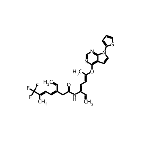 C=C/C(=C\C=C(/C)C(F)(F)F)CC(=O)N/C(C=C)=C/C=C(\C)Oc1ncnc2c1ccn2-c1cccs1